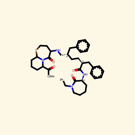 COC(=O)C1CCCC2SCCC(NC[C@@H](CC[C@@H](Cc3ccccc3)C(=O)N[C@H]3CCCCN(CC(C)C)C3=O)Cc3ccccc3)C(=O)N21